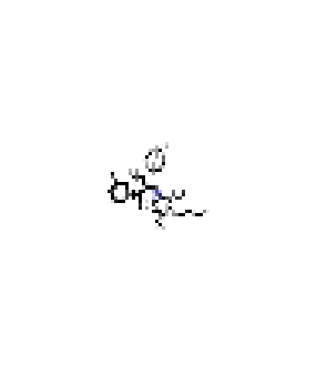 CCCCN1C(=O)/C(=C/c2c(N3CCN(C)CC3)nc3c(C)cccn3c2=O)SC1=S